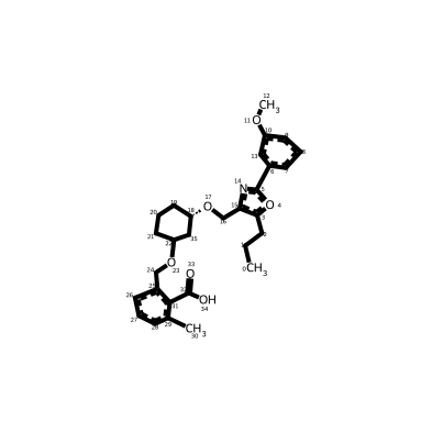 CCCc1oc(-c2cccc(OC)c2)nc1CO[C@H]1CCCC(OCc2cccc(C)c2C(=O)O)C1